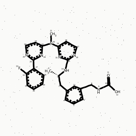 C[C@@H](Cc1cccc(CNC(=O)O)c1)Nc1nccc(N(C)c2ccnc(-c3ccccc3F)n2)n1